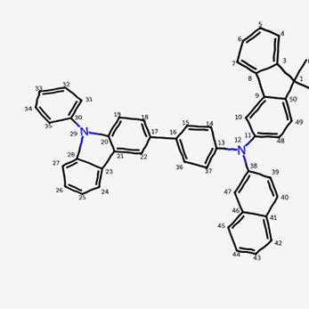 CC1(C)c2ccccc2-c2cc(N(c3ccc(-c4ccc5c(c4)c4ccccc4n5-c4ccccc4)cc3)c3ccc4ccccc4c3)ccc21